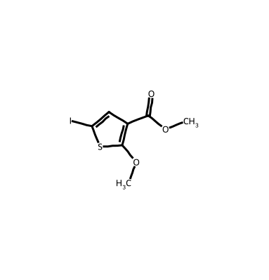 COC(=O)c1cc(I)sc1OC